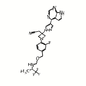 C[C@@H](NCOCc1ccc(N2CC(CC#N)(n3cc(-c4ncnc5[nH]ccc45)cn3)C2)c(F)c1)C(F)(F)F